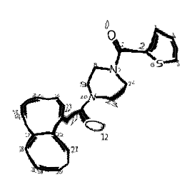 O=C(c1cccs1)N1CCN(C(=O)c2cccc3ccccc23)CC1